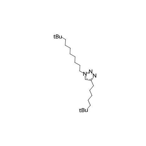 CC(C)(C)CCCCCCCCn1cc(CCCCCC(C)(C)C)nn1